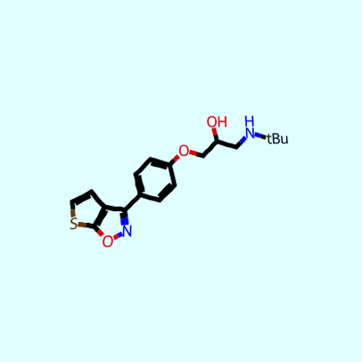 CC(C)(C)NCC(O)COc1ccc(-c2noc3sccc23)cc1